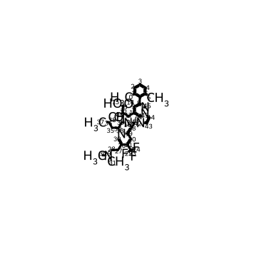 Cc1cccc(C)c1-c1cc(C(CC(=O)O)[N+]23CC2=C2C=C(C(F)(F)F)C(CCN(C)C)=CN2C(CC(C)C)C3=O)c2nccn2n1